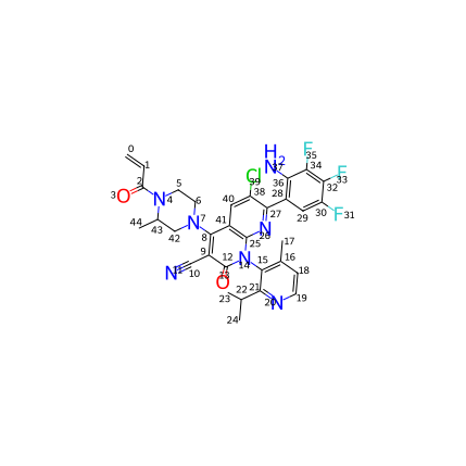 C=CC(=O)N1CCN(c2c(C#N)c(=O)n(-c3c(C)ccnc3C(C)C)c3nc(-c4cc(F)c(F)c(F)c4N)c(Cl)cc23)CC1C